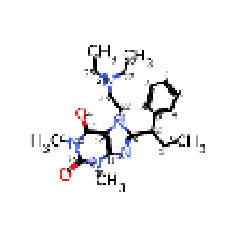 CCC(c1ccccc1)c1nc2c(c(=O)n(C)c(=O)n2C)n1CCN(CC)CC